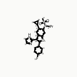 CC(C)N(c1cc2oc(-c3ccc(F)cc3)c(-c3ncc[nH]3)c2cc1C1CC1)S(C)(=O)=O